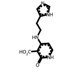 O=C(O)c1c(NCCc2cnc[nH]2)cc[nH]c1=O